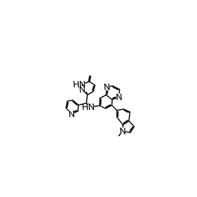 C=C1C=CC([C@@H](Nc2cc(-c3ccc4ccn(C)c4c3)c3nccnc3c2)c2cccnc2)=NN1